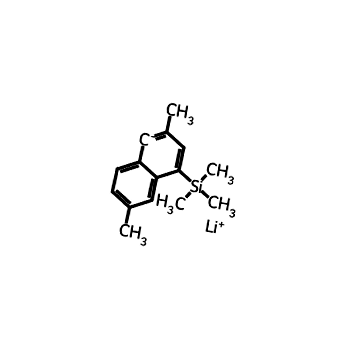 Cc1[c-]c2ccc(C)cc2c([Si](C)(C)C)c1.[Li+]